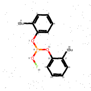 CC(C)(C)c1ccccc1OP(OF)Oc1ccccc1C(C)(C)C